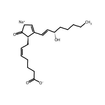 CCCCC[C@H](O)/C=C/C1=CCC(=O)[C@@H]1C/C=C\CCCC(=O)[O-].[Na+]